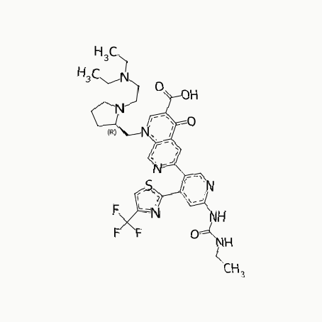 CCNC(=O)Nc1cc(-c2nc(C(F)(F)F)cs2)c(-c2cc3c(=O)c(C(=O)O)cn(C[C@H]4CCCN4CCN(CC)CC)c3cn2)cn1